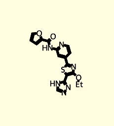 CCOc1nc(-c2ccnc(NC(=O)c3ccco3)c2)sc1-c1nnc[nH]1